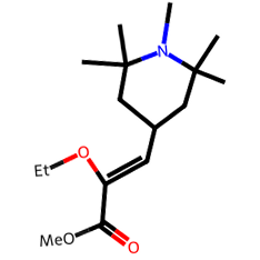 CCOC(=CC1CC(C)(C)N(C)C(C)(C)C1)C(=O)OC